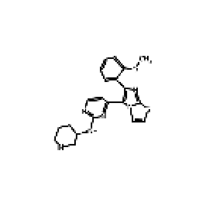 COc1ccccc1-c1nc2sccn2c1-c1ccnc(N[C@@H]2CCCNC2)n1